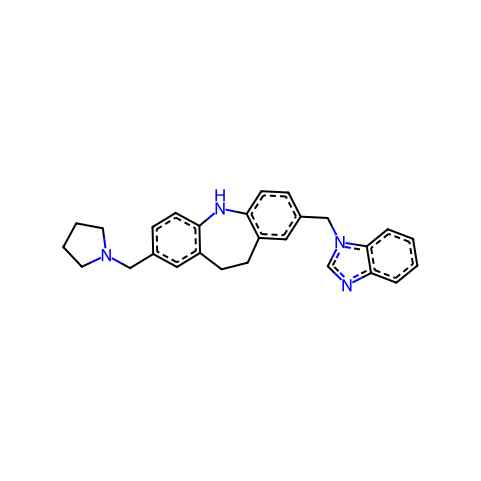 c1ccc2c(c1)ncn2Cc1ccc2c(c1)CCc1cc(CN3CCCC3)ccc1N2